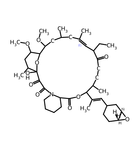 CCC1/C=C(\C)CC(C)CC(OC)C2OC(O)(C(=O)C(=O)N3CCCCC3C(=O)OC(C(C)=CC3CC[C@H]4O[C@H]4C3)C(C)CCC1=O)C(C)CC2OC